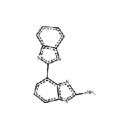 Nc1nc2c(-c3nc4ccccc4s3)cccc2s1